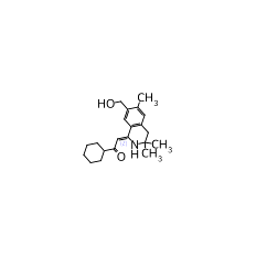 Cc1cc2c(cc1CO)/C(=C/C(=O)C1CCCCC1)NC(C)(C)C2